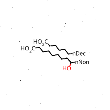 CCCCCCCCCC(O)CCCCCCCC(=O)O.CCCCCCCCCCCCCCCC(=O)O